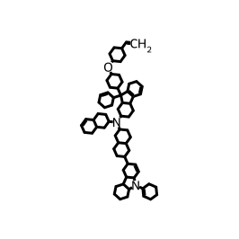 C=CC1CCC(OC2CCC(C3(C4C=CCCC4)C4=C(C=CCC4)C4CCC(N(C5CCC6C=CCCC6C5)C5CCC6CC(C7C=CC8C(C7)C7CCCCC7N8C7=CCCCC7)CCC6C5)CC43)CC2)CC1